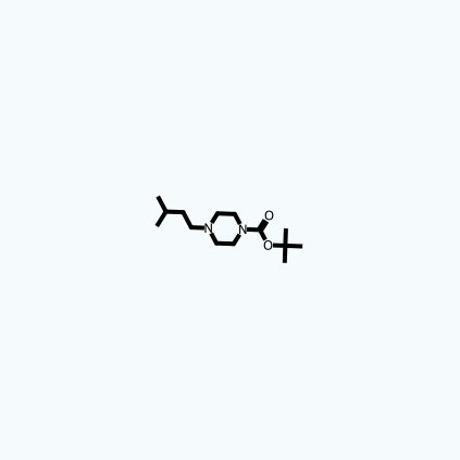 CC(C)CCN1CCN(C(=O)OC(C)(C)C)CC1